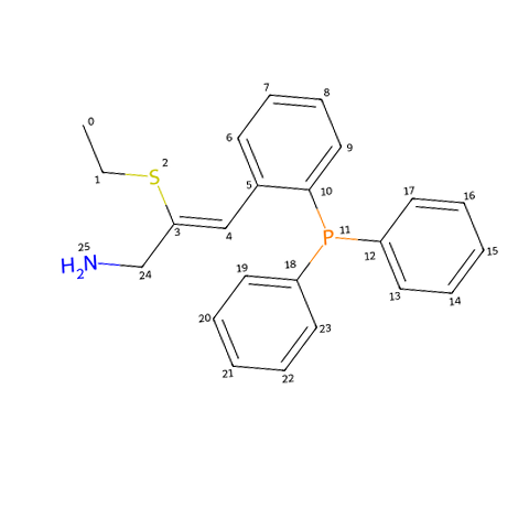 CCSC(=Cc1ccccc1P(c1ccccc1)c1ccccc1)CN